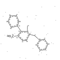 Cc1c(Cc2ccccc2)ccc(C(=O)O)c1-c1ccccc1